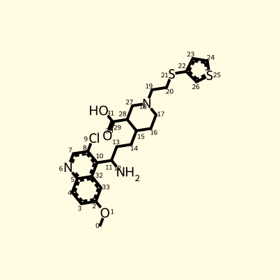 COc1ccc2ncc(Cl)c(C(N)CCC3CCN(CCSc4ccsc4)CC3C(=O)O)c2c1